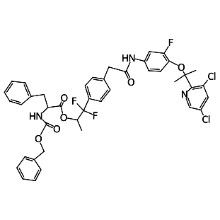 CC(OC(=O)C(Cc1ccccc1)NC(=O)OCc1ccccc1)C(F)(F)c1ccc(CC(=O)Nc2ccc(OC(C)(C)c3ncc(Cl)cc3Cl)c(F)c2)cc1